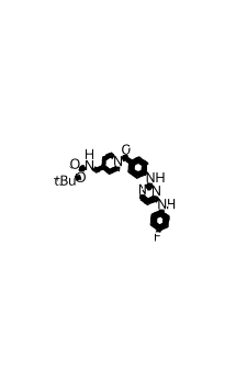 CC(C)(C)OC(=O)NCC1CCN(C(=O)c2ccc(Nc3nccc(Nc4ccc(F)cc4)n3)cc2)CC1